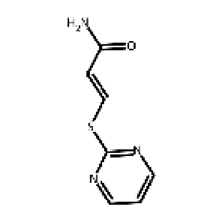 NC(=O)C=CSc1ncccn1